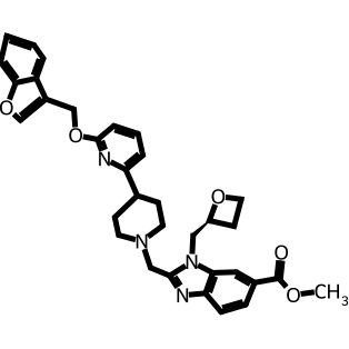 COC(=O)c1ccc2nc(CN3CCC(c4cccc(OCc5coc6ccccc56)n4)CC3)n(C[C@@H]3CCO3)c2c1